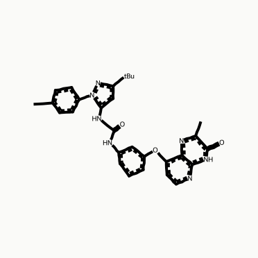 Cc1ccc(-n2nc(C(C)(C)C)cc2NC(=O)Nc2cccc(Oc3ccnc4[nH]c(=O)c(C)nc34)c2)cc1